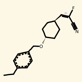 CCc1ccc(CO[C@H]2CC[C@H](/C=C(/F)C#N)CC2)cc1